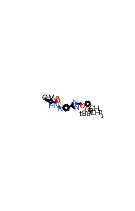 COC=C1CC(C(=O)Nc2nc3ccc(-c4cnc(CO[C@H]5CCC[C@@H]5O[Si](C)(C)C(C)(C)C)nc4)cc3s2)C1